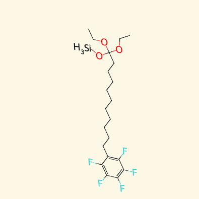 CCOC(CCCCCCCCCCc1c(F)c(F)c(F)c(F)c1F)(O[SiH3])OCC